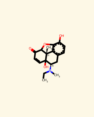 CCN(C)[C@@H]1Cc2ccc(O)c3c2[C@@]2(C)C(O3)C(=O)C=CC12O